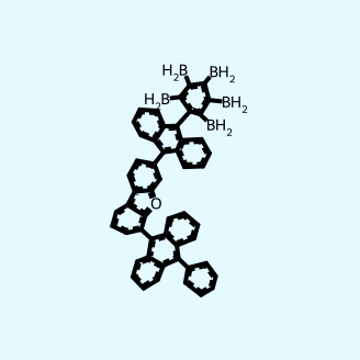 Bc1c(B)c(B)c(-c2c3ccccc3c(-c3ccc4c(c3)oc3c(-c5c6ccccc6c(-c6ccccc6)c6ccccc56)cccc34)c3ccccc23)c(B)c1B